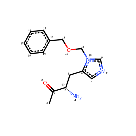 CC(=O)[C@@H](N)Cc1cncn1COCc1ccccc1